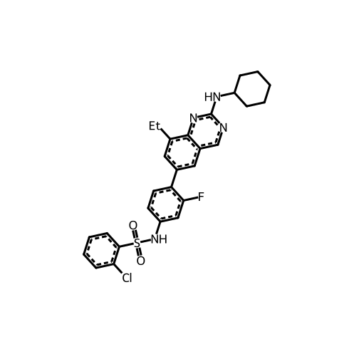 CCc1cc(-c2ccc(NS(=O)(=O)c3ccccc3Cl)cc2F)cc2cnc(NC3CCCCC3)nc12